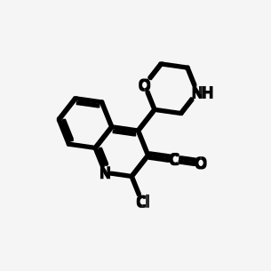 O=C=C1C(C2CNCCO2)=c2ccccc2=NC1Cl